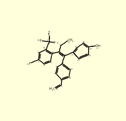 C=Cc1ccc(/C(=C(/CC)c2ccc(F)cc2C(F)(F)F)c2ccc(O)cc2)cc1